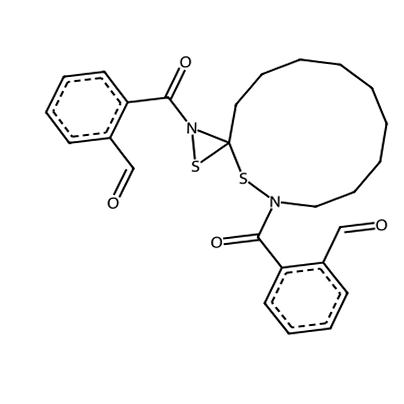 O=Cc1ccccc1C(=O)N1CCCCCCCCCC2(S1)SN2C(=O)c1ccccc1C=O